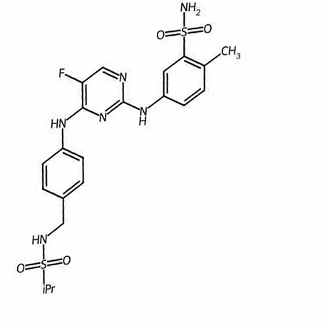 Cc1ccc(Nc2ncc(F)c(Nc3ccc(CNS(=O)(=O)C(C)C)cc3)n2)cc1S(N)(=O)=O